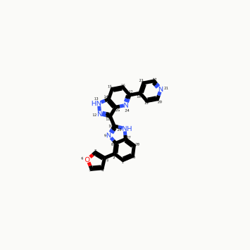 c1cc(-c2ccoc2)c2nc(-c3n[nH]c4ccc(-c5ccncc5)nc34)[nH]c2c1